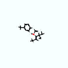 O=[N+]([O-])c1cc(C(F)(F)F)c(F)cc1NC1=NC(C(F)(F)F)(C(F)(F)F)/C(=C(\F)C(F)(F)F)S1